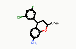 COC1CC(c2cc(Cl)cc(Cl)c2)c2ccc(N)cc2O1